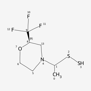 CC(SS)N1CCO[C@@H](C(F)(F)F)C1